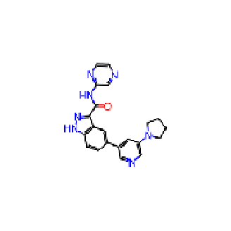 O=C(Nc1cnccn1)c1n[nH]c2ccc(-c3cncc(N4CCCC4)c3)cc12